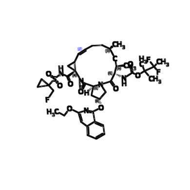 CCOc1cc2ccccc2c(O[C@@H]2C[C@H]3C(=O)N[C@]4(C(=O)NS(=O)(=O)C5(CF)CC5)CC4/C=C\CC[C@@H](C)C[C@@H](C)[C@H](NC(=O)OC(C)(C)C(C)(F)F)C(=O)N3C2)n1